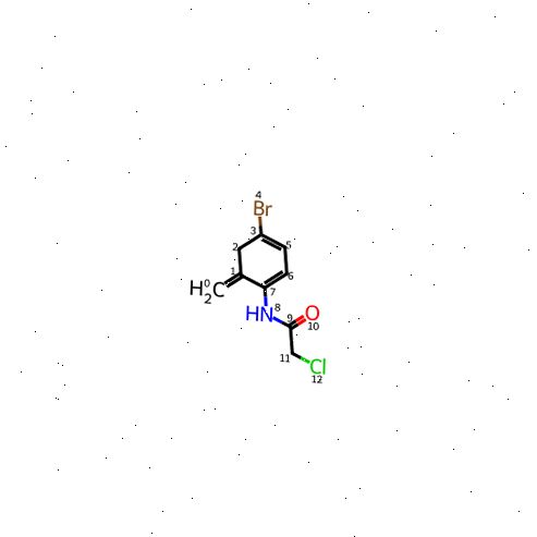 C=C1CC(Br)=CC=C1NC(=O)CCl